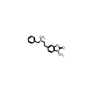 CN(CCc1ccc2c(c1)oc(=O)n2C)Cc1ccccc1